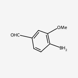 Bc1ccc(C=O)cc1OC